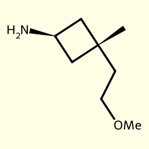 COCC[C@]1(C)C[C@@H](N)C1